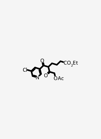 CCOC(=O)CCCC(C(=O)COC(C)=O)C(=O)c1cncc(Cl)c1